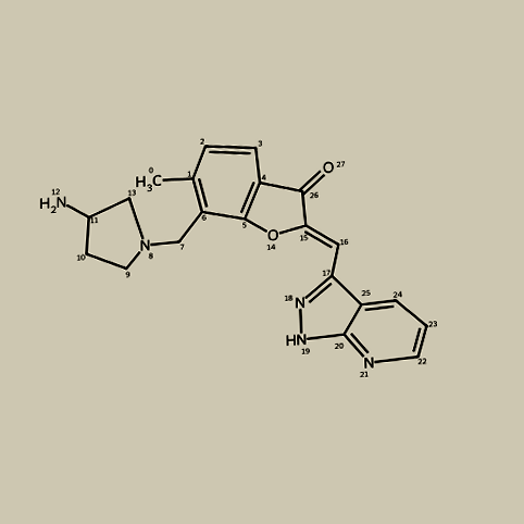 Cc1ccc2c(c1CN1CCC(N)C1)O/C(=C\c1n[nH]c3ncccc13)C2=O